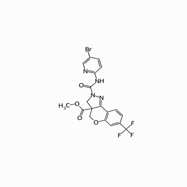 COC(=O)C12COc3cc(C(F)(F)F)ccc3C1=NN(C(=O)Nc1ccc(Br)cn1)C2